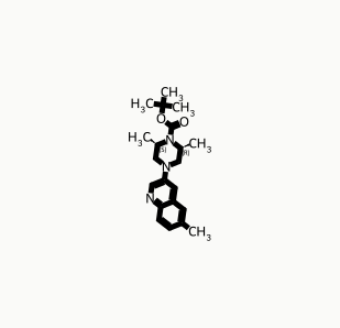 Cc1ccc2ncc(N3C[C@@H](C)N(C(=O)OC(C)(C)C)[C@@H](C)C3)cc2c1